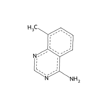 Cc1cccc2c(N)ncnc12